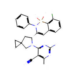 Cc1nc(N)nc(N2CC3(CC3)C[C@H]2C2=Cc3cccc(Cl)c3S(O)(O)N2c2ccccc2)c1C#N